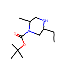 CCC1CN(C(=O)OC(C)(C)C)C(C)CN1